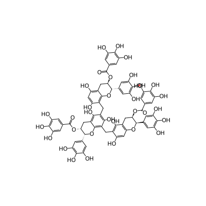 O=C(O[C@@H]1Cc2c(cc(O)c(Cc3c(O)c(Cc4c(O)cc(O)c5c4O[C@@H](c4cc(O)c(O)c(O)c4)[C@H](OC(=O)c4cc(O)c(O)c(O)c4)C5)c(O)c4c3O[C@H](c3cc(O)c(O)c(O)c3)[C@H](OC(=O)c3cc(O)c(O)c(O)c3)C4)c2O)O[C@@H]1c1cc(O)c(O)c(O)c1)c1cc(O)c(O)c(O)c1